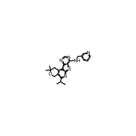 CC(C)c1nc2sc3c(NCc4cccnc4)ncnc3c2c2c1COC(C)(C)C2